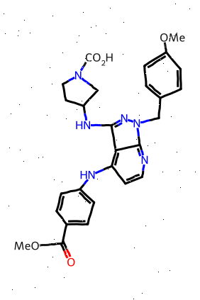 COC(=O)c1ccc(Nc2ccnc3c2c(NC2CCN(C(=O)O)C2)nn3Cc2ccc(OC)cc2)cc1